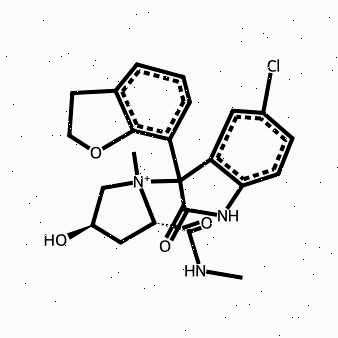 CNC(=O)[C@@H]1C[C@@H](O)C[N+]1(C)C1(c2cccc3c2OCC3)C(=O)Nc2ccc(Cl)cc21